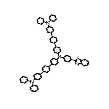 c1ccc(N(c2ccccc2)c2ccc(-c3ccc(-c4ccc(N(c5ccc(-c6ccc(-c7ccc(N(c8ccccc8)c8ccccc8)cc7)cc6)cc5)c5ccc(-c6nc7ccccc7s6)cc5)cc4)cc3)cc2)cc1